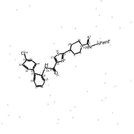 CCCCCNC(=S)N1CCC(c2nc(C(=O)Nc3ccccc3-c3ccc(Cl)cc3)cs2)CC1